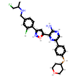 CC(CF)NCc1ccc(-c2cc(-c3nc(-c4ccc(SC5CCOCC5)cc4)cnc3N)on2)c(F)c1